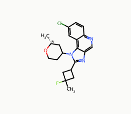 C[C@@H]1CC(n2c(C3CC(C)(F)C3)nc3cnc4ccc(Cl)cc4c32)CCO1